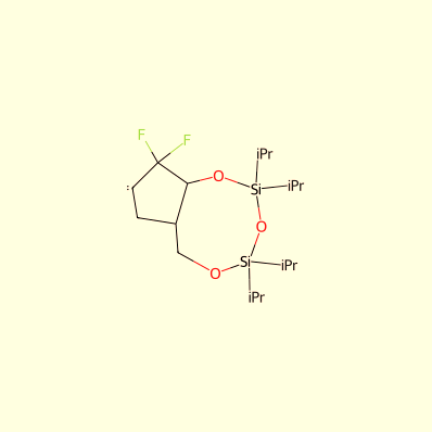 CC(C)[Si]1(C(C)C)OCC2C[C]C(F)(F)C2O[Si](C(C)C)(C(C)C)O1